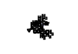 CC1NN/C=C(/C(=O)NC2CC2)C(=O)N(CC(C)(C)C)/C(O)=C/1Br